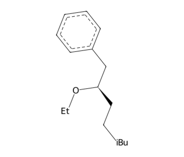 CCO[C@H](CCC(C)CC)Cc1ccccc1